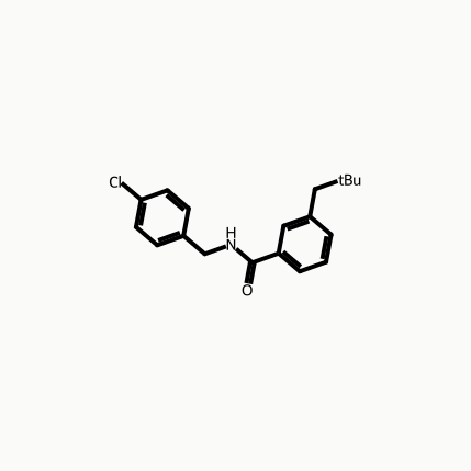 CC(C)(C)Cc1cccc(C(=O)NCc2ccc(Cl)cc2)c1